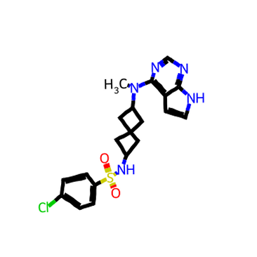 CN(c1ncnc2[nH]ccc12)C1CC2(CC(NS(=O)(=O)c3ccc(Cl)cc3)C2)C1